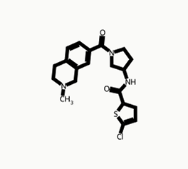 CN1CCc2ccc(C(=O)N3CCC(NC(=O)C4CC=C(Cl)S4)C3)cc2C1